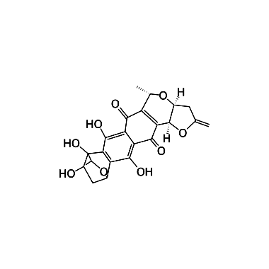 C=C1C[C@@H]2O[C@@H](C)C3=C(C(=O)c4c(O)c5c(c(O)c4C3=O)C3(O)C(O)CC5OC3C)[C@@H]2O1